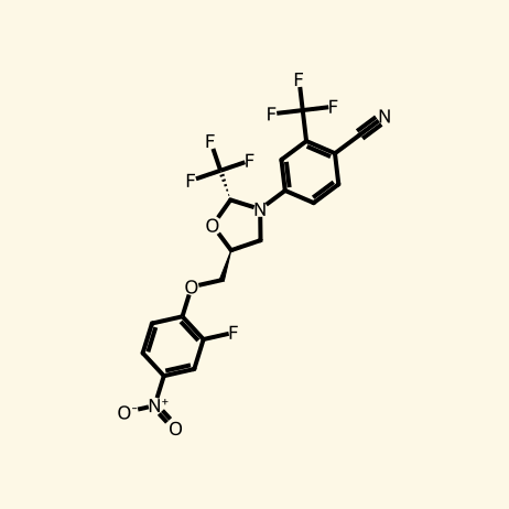 N#Cc1ccc(N2C[C@@H](COc3ccc([N+](=O)[O-])cc3F)O[C@@H]2C(F)(F)F)cc1C(F)(F)F